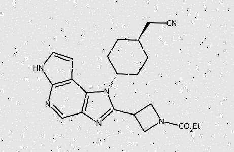 CCOC(=O)N1CC(c2nc3cnc4[nH]ccc4c3n2[C@H]2CC[C@H](CC#N)CC2)C1